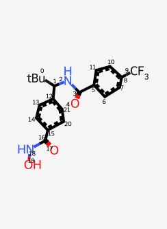 CC(C)(C)C(NC(=O)c1ccc(C(F)(F)F)cc1)c1ccc(C(=O)NO)cc1